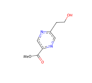 COC(=O)c1cnc(CCO)cn1